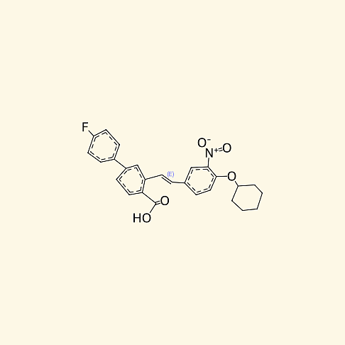 O=C(O)c1ccc(-c2ccc(F)cc2)cc1/C=C/c1ccc(OC2CCCCC2)c([N+](=O)[O-])c1